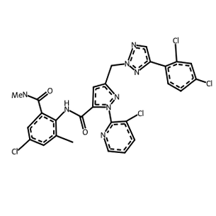 CNC(=O)c1cc(Cl)cc(C)c1NC(=O)c1cc(Cn2ncc(-c3ccc(Cl)cc3Cl)n2)nn1-c1ncccc1Cl